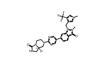 Cn1cc(Cn2c3cc(-c4cnc(N5CCN6C(=O)NC[C@H]6C5)nc4)ccc3c(=O)n2C)c(C(F)(F)F)c1